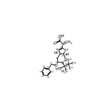 CN(C(=O)O)C1=N[C@@H]2C[C@H](OCc3ccccc3)[C@@H]([C@@](C)(O)C(F)(F)F)O[C@@H]2S1